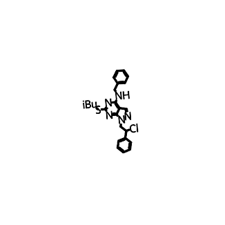 CCC(C)Sc1nc(NCc2ccccc2)c2cnn(CC(Cl)c3ccccc3)c2n1